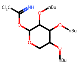 CCCCOC1COC(OC(=N)C(Cl)(Cl)Cl)C(OCCCC)C1OCCCC